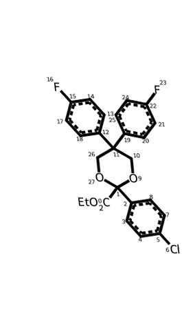 CCOC(=O)C1(c2ccc(Cl)cc2)OCC(c2ccc(F)cc2)(c2ccc(F)cc2)CO1